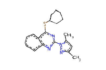 Cc1cc(C)n(-c2nc(SC3CCCCC3)c3ccccc3n2)n1